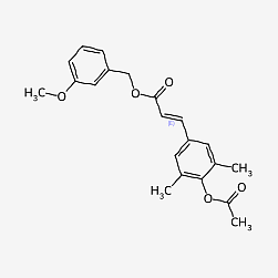 COc1cccc(COC(=O)/C=C/c2cc(C)c(OC(C)=O)c(C)c2)c1